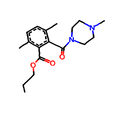 CCCOC(=O)c1c(C)ccc(C)c1C(=O)N1CCN(C)CC1